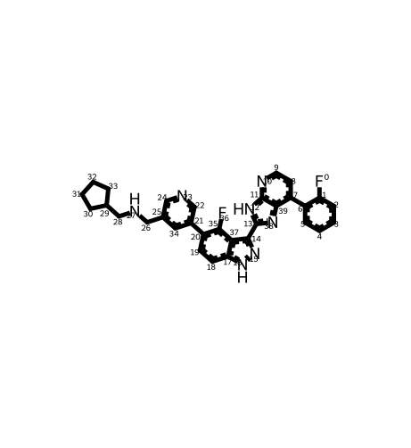 Fc1ccccc1-c1ccnc2[nH]c(-c3n[nH]c4ccc(-c5cncc(CNCC6CCCC6)c5)c(F)c34)nc12